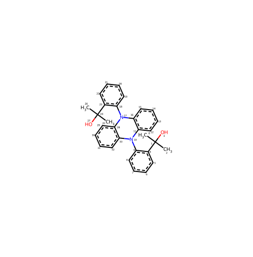 CC(C)(O)c1ccccc1N1c2ccccc2N(c2ccccc2C(C)(C)O)c2ccccc21